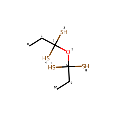 CCC(S)(S)OC(S)(S)CC